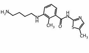 Cc1cnc(NC(=O)c2cccc(NCCCCN)c2C)s1